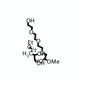 CC(O)CO.CCOCC.COC(O)COCCOCCOCCO